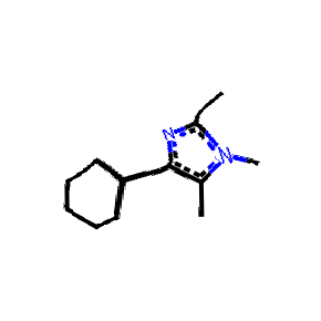 Cc1nc(C2CCCCC2)c(C)n1C